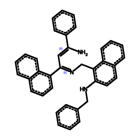 N/C(=C\C(=N/Cc1c(NCc2ccccc2)ccc2ccccc12)c1cccc2ccccc12)c1ccccc1